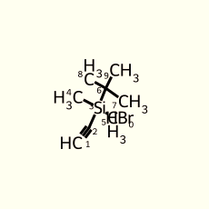 Br.C#C[Si](C)(C)C(C)(C)C